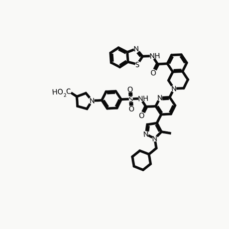 Cc1c(-c2ccc(N3CCc4cccc(C(=O)Nc5nc6ccccc6s5)c4C3)nc2C(=O)NS(=O)(=O)c2ccc(N3CCC(C(=O)O)C3)cc2)cnn1CC1CCCCC1